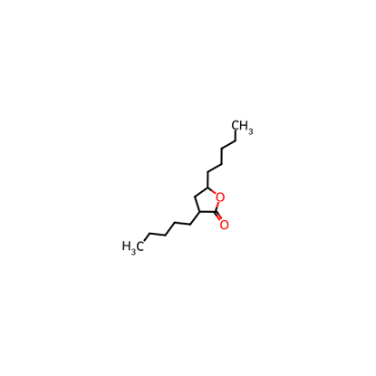 CCCCCC1CC(CCCCC)C(=O)O1